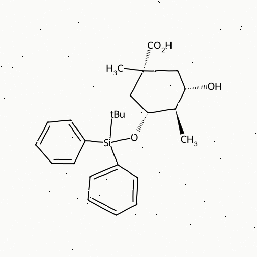 C[C@@H]1[C@@H](O)C[C@@](C)(C(=O)O)C[C@H]1O[Si](c1ccccc1)(c1ccccc1)C(C)(C)C